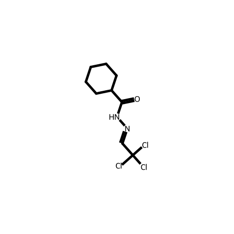 O=C(NN=CC(Cl)(Cl)Cl)C1CCCCC1